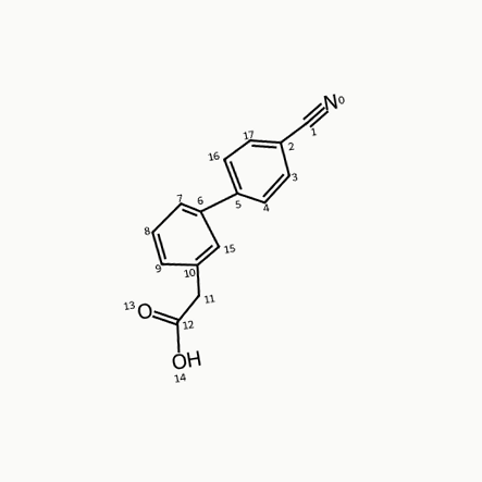 N#Cc1ccc(-c2cccc(CC(=O)O)c2)cc1